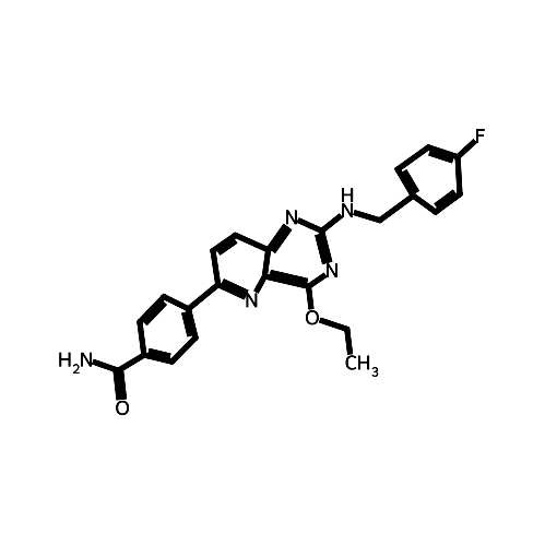 CCOc1nc(NCc2ccc(F)cc2)nc2ccc(-c3ccc(C(N)=O)cc3)nc12